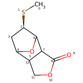 CS[C@@H]1CC2OC1C1C(=O)OCC21